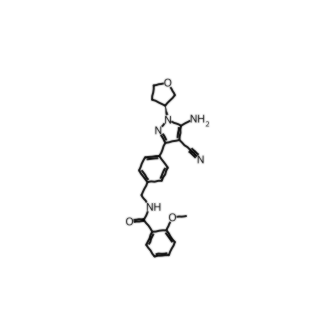 COc1ccccc1C(=O)NCc1ccc(-c2nn([C@H]3CCOC3)c(N)c2C#N)cc1